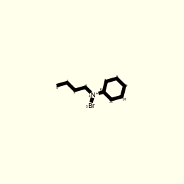 CCCC[N+](Br)C1CCCCC1